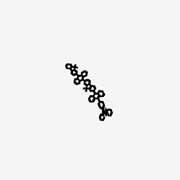 CC1(C)c2ccccc2-c2ccc(-c3c4ccccc4c(-c4ccc5c(c4)C(C)(C)c4cc(-c6c7ccccc7c(-c7ccc(N(c8ccccc8)c8ccccc8)cc7)c7ccccc67)ccc4-5)c4ccccc34)cc21